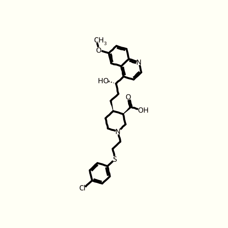 COc1ccc2nccc([C@@H](O)CC[C@@H]3CCN(CCSc4ccc(Cl)cc4)C[C@@H]3C(=O)O)c2c1